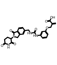 C=C(COc1cccc(NC(=O)NCc2ccc3c(c2)CN(C2CCC(=O)NC2=O)C3=O)c1)C(=O)O